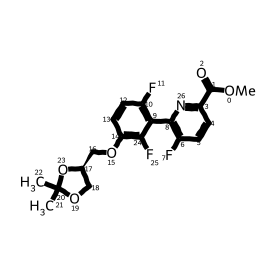 COC(=O)c1ccc(F)c(-c2c(F)ccc(OC[C@H]3COC(C)(C)O3)c2F)n1